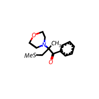 CSCC(C)(C(=O)c1ccccc1)N1CCOCC1